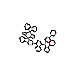 c1ccc(-c2ccc(N(c3ccccc3-c3ccccc3)c3ccc(-c4ccc5c(c4)C4(c6ccccc6-5)c5ccccc5C(c5ccccc5)(c5ccccc5)c5ccccc54)c4ccccc34)cc2)cc1